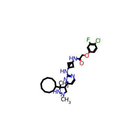 CN1CC(c2ccnc(NC34CC(NC(=O)COc5ccc(Cl)c(F)c5)(C3)C4)n2)C(C)(C2CCCCCCCCC2)N1